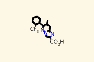 Cc1cc2nc(C(=O)O)cn2nc1-c1ccccc1C(F)(F)F